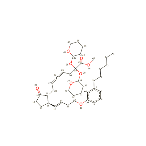 CCCCCCc1cccc(OCC/C=C/[C@H]2CCC(=O)[C@@H]2CC=C=CCC(OC2CCCCO2)(OC2CCCCO2)C(=O)OC)c1